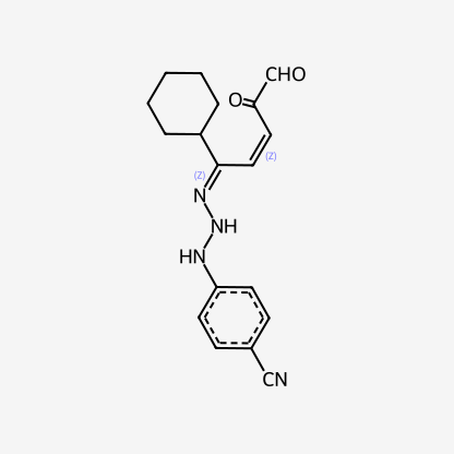 N#Cc1ccc(NN/N=C(\C=C/C(=O)C=O)C2CCCCC2)cc1